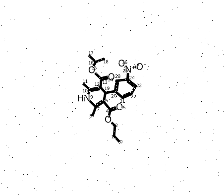 CCCOC(=O)C1=C(C)NC(C)=C(C(=O)OC(C)C)C1c1cccc([N+](=O)[O-])c1